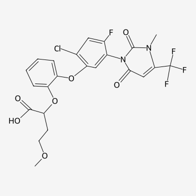 COCCC(Oc1ccccc1Oc1cc(-n2c(=O)cc(C(F)(F)F)n(C)c2=O)c(F)cc1Cl)C(=O)O